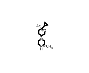 CC(=O)[C@@]1(C2CC2)CC[C@@H](N2CCN[C@@H](C)C2)CO1